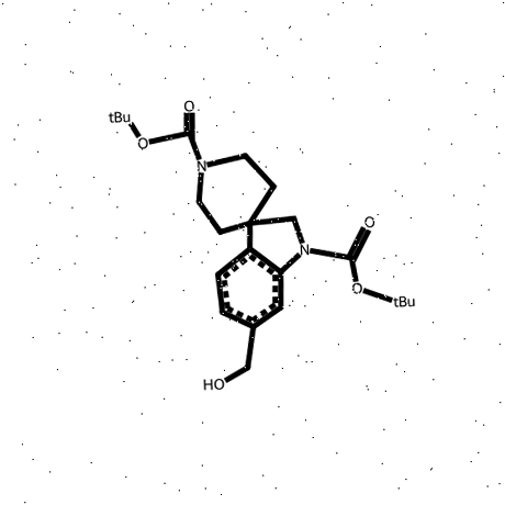 CC(C)(C)OC(=O)N1CCC2(CC1)CN(C(=O)OC(C)(C)C)c1cc(CO)ccc12